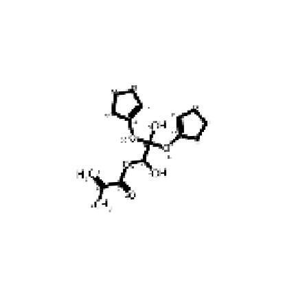 C=C(C)C(=O)OC(O)C(O)(OC1=CCCC1)OC1=CCCC1